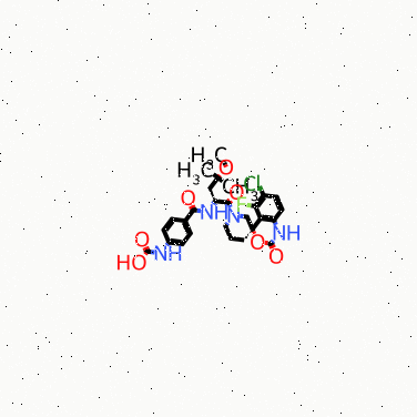 COC(C)(C)C[C@H](NC(=O)c1ccc(NC(=O)O)cc1)C(=O)N1CCC[C@@]2(C1)OC(=O)Nc1ccc(Cl)c(F)c12